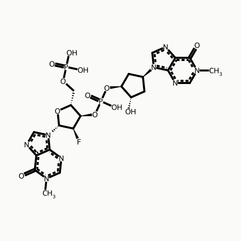 Cn1cnc2c(ncn2[C@@H]2C[C@H](OP(=O)(O)O[C@H]3[C@@H](F)[C@H](n4cnc5c(=O)n(C)cnc54)O[C@@H]3COP(=O)(O)O)[C@@H](O)C2)c1=O